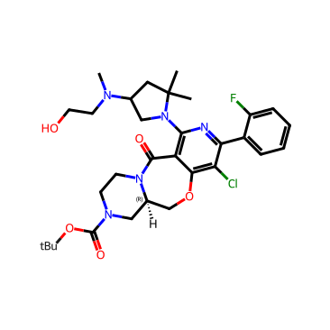 CN(CCO)C1CN(c2nc(-c3ccccc3F)c(Cl)c3c2C(=O)N2CCN(C(=O)OC(C)(C)C)C[C@@H]2CO3)C(C)(C)C1